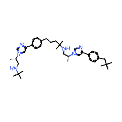 C[C@H](CNC(C)(C)CCCc1ccc(-c2cn([C@@H](C)CNC(C)(C)C)cn2)cc1)n1cnc(-c2ccc(CC(C)(C)C)cc2)c1